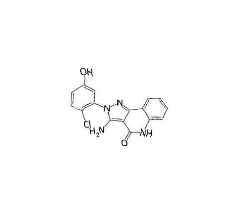 Nc1c2c(=O)[nH]c3ccccc3c2nn1-c1cc(O)ccc1Cl